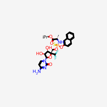 CC(C)OC(=O)[C@H](C)NP(=S)(OC[C@@]1(C(F)F)O[C@@H](n2ccc(N)nc2=O)[C@@H](O)[C@@H]1O)Oc1ccc2ccccc2c1